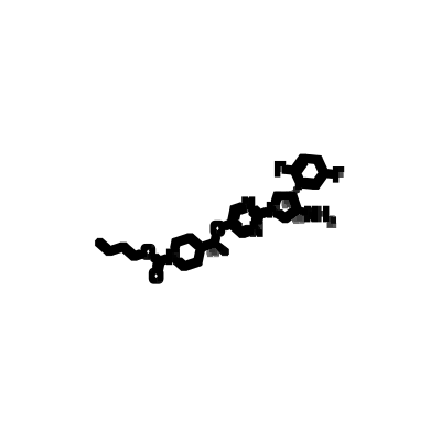 CCCCOC(=O)N1CCC([C@H](C)Oc2cnc(N3C[C@H](C4=CC(F)CC=C4F)[C@@H](N)C3)nc2)CC1